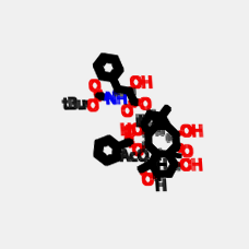 CC(=O)O[C@@]12CO[C@@H]1C[C@H](O)[C@@]1(C)C(=O)[C@H](O)C3=C(C)[C@@H](OC(=O)[C@H](O)[C@@H](NC(=O)OC(C)(C)C)c4ccccc4)C[C@@](O)([C@@H](OC(=O)c4ccccc4)[C@H]21)[C@@]3(C)C(C)C